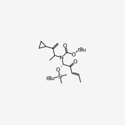 C=C(C1CC1)C(C)N(C(=O)OC(C)(C)C)[C@@H](O[Si](C)(C)C(C)(C)C)C(=O)/C=C/C